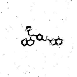 Cc1ncnc(C)c1OC(=O)NCc1ccc(CN(Cc2ncco2)C2CCCc3cccnc32)cc1